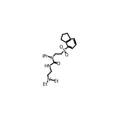 CCN(CC)CCNC(=O)N(CCS(=O)(=O)c1cccc2c1CCC2)C(C)C